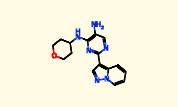 Nc1cnc(-c2cnn3ccccc23)nc1NC1CCOCC1